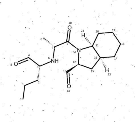 CCC[C@H](C=O)N[C@H](C)C(=O)N1[C@H](C=O)C[C@@H]2CCCC[C@@H]21